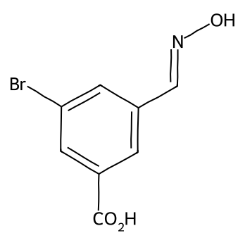 O=C(O)c1cc(Br)cc(/C=N/O)c1